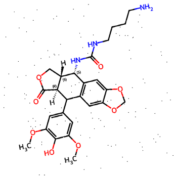 COc1cc(C2c3cc4c(cc3[C@@H](NC(=O)NCCCCN)[C@H]3COC(=O)[C@H]23)OCO4)cc(OC)c1O